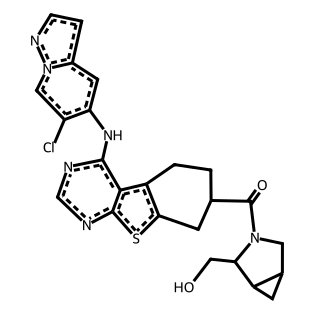 O=C(C1CCc2c(sc3ncnc(Nc4cc5ccnn5cc4Cl)c23)C1)N1CC2CC2C1CO